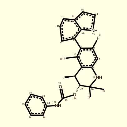 C[C@H]1c2c(cc(F)c(-c3cccc4cc[nH]c34)c2F)NC(C)(C)[C@@H]1OC(=O)Nc1ccccc1